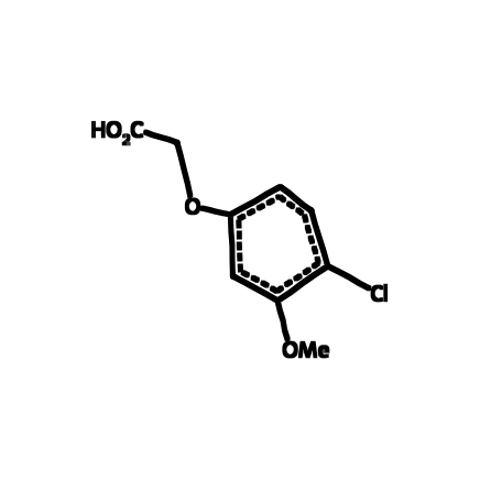 COc1cc(OCC(=O)O)ccc1Cl